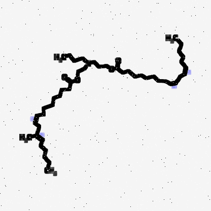 CCCCC/C=C\C/C=C\CCCCCCCCC(=O)OCCCN(CCCC)CCOC(=O)CCCCCCC/C=C\C/C(C)=C/CCCCC